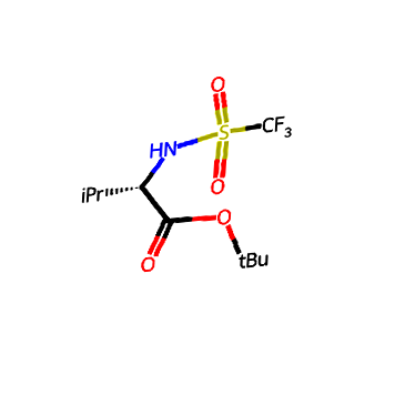 CC(C)[C@H](NS(=O)(=O)C(F)(F)F)C(=O)OC(C)(C)C